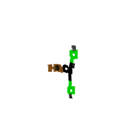 Br.[Cl][Ca][Cl]